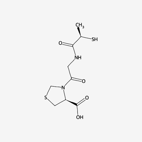 C[C@@H](S)C(=O)NCC(=O)N1CSC[C@@H]1C(=O)O